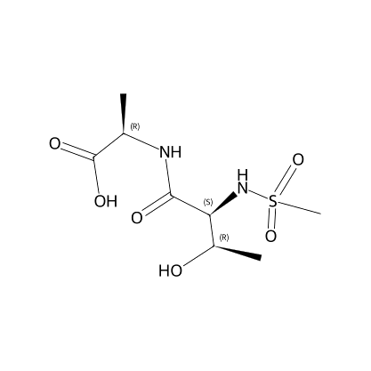 C[C@@H](NC(=O)[C@@H](NS(C)(=O)=O)[C@@H](C)O)C(=O)O